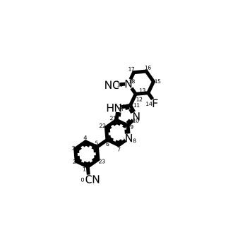 N#Cc1cccc(-c2cnc3nc(C4C(F)CCCN4C#N)[nH]c3c2)c1